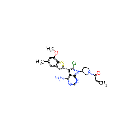 C=CC(=O)N1CCC(n2c(Cl)c(-c3cc4cc(C)cc(OC)c4s3)c3c(N)ncnc32)C1